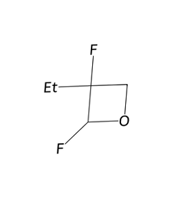 CCC1(F)COC1F